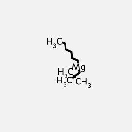 CCCCC[CH2][Mg][CH2]C(C)(C)C